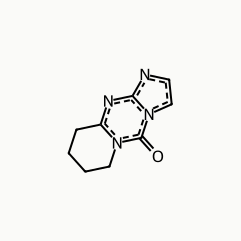 O=c1n2c(nc3nccn13)CCCC2